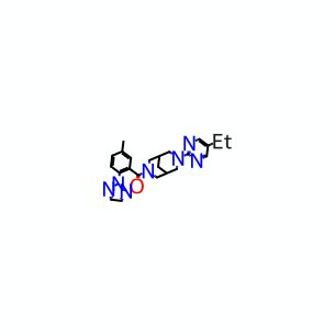 CCc1cnc(N2CC3CC(CN(C(=O)c4cc(C)ccc4-n4nccn4)C3)C2)nc1